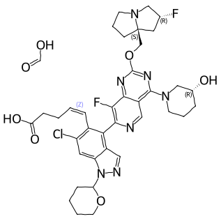 O=C(O)CC/C=C\c1c(Cl)cc2c(cnn2C2CCCCO2)c1-c1ncc2c(N3CCC[C@@H](O)C3)nc(OC[C@@]34CCCN3C[C@H](F)C4)nc2c1F.O=CO